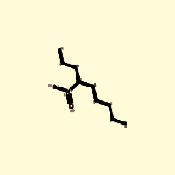 CCCCCC(CCC)[N+](=O)[O-]